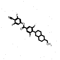 CCC1CCC2CC(c3c(F)cc(C(=O)Oc4cc(F)c(C#N)c(F)c4)cc3F)CCC2C1